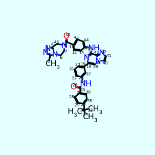 Cc1nnc2n1CCN(C(=O)c1ccc(Nc3nc(-c4cccc(NC(=O)c5ccc(C(C)(C)C)cc5)c4)cn4ccnc34)cc1)C2